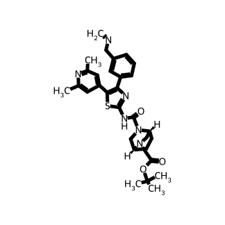 C=NCc1cccc(-c2nc(NC(=O)N3C[C@H]4CC[C@@H]3CN4C(=O)OC(C)(C)C)sc2-c2cc(C)nc(C)c2)c1